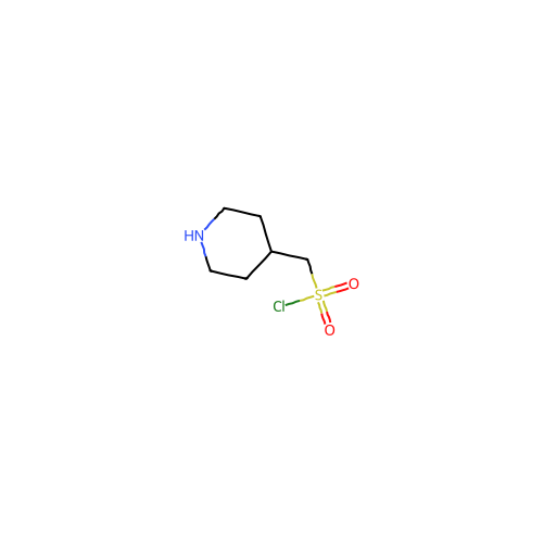 O=S(=O)(Cl)CC1CCNCC1